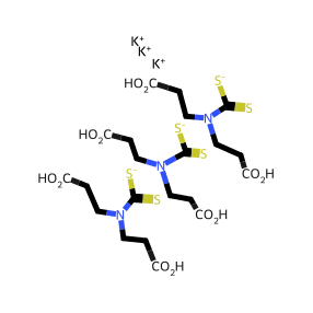 O=C(O)CCN(CCC(=O)O)C(=S)[S-].O=C(O)CCN(CCC(=O)O)C(=S)[S-].O=C(O)CCN(CCC(=O)O)C(=S)[S-].[K+].[K+].[K+]